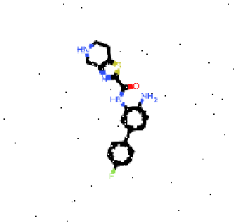 Nc1ccc(-c2ccc(F)cc2)cc1NC(=O)c1nc2c(s1)CCNC2